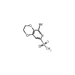 CS(=O)(=O)c1cc2c(c(Br)n1)OCCO2